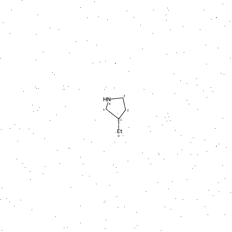 CC[C]1CCNC1